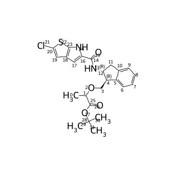 CC(OC[C@@H]1c2ccccc2C[C@H]1NC(=O)c1cc2cc(Cl)sc2[nH]1)C(=O)OC(C)(C)C